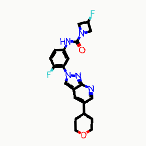 O=C(Nc1ccc(F)c(-n2cc3cc(C4CCOCC4)cnc3n2)c1)N1CC(F)C1